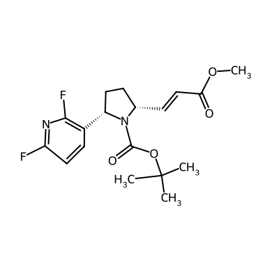 COC(=O)/C=C/[C@H]1CC[C@@H](c2ccc(F)nc2F)N1C(=O)OC(C)(C)C